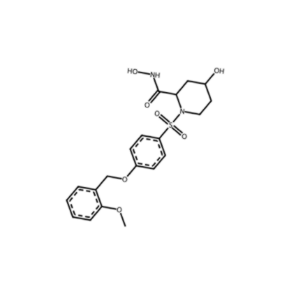 COc1ccccc1COc1ccc(S(=O)(=O)N2CCC(O)CC2C(=O)NO)cc1